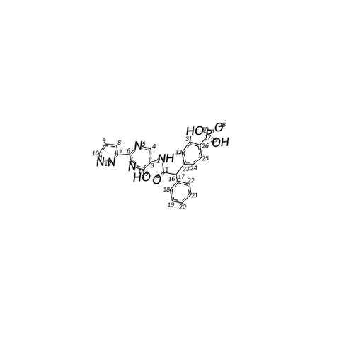 O=C(Nc1cnc(-c2cccnn2)nc1O)C(c1ccccc1)c1ccc(P(=O)(O)O)cc1